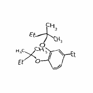 [CH2]Cc1ccc(OC(C)(C)CC)c(OC(C)(C)CC)c1